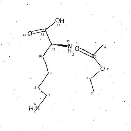 CCOC(C)=O.NCCCC[C@H](N)C(=O)O